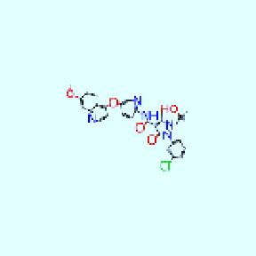 COc1ccc2c(Oc3ccc(NC(=O)c4c(C)n(C[C@@H](C)O)n(-c5cccc(Cl)c5)c4=O)nc3)ccnc2c1